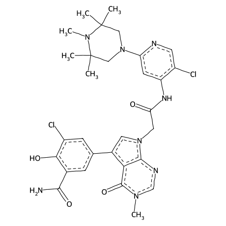 CN1C(C)(C)CN(c2cc(NC(=O)Cn3cc(-c4cc(Cl)c(O)c(C(N)=O)c4)c4c(=O)n(C)cnc43)c(Cl)cn2)CC1(C)C